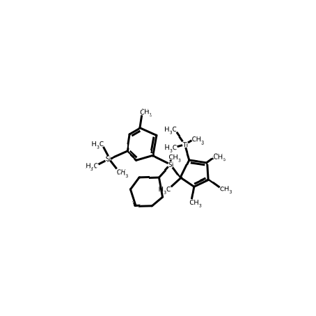 CC1=C(C)C(C)([Si](C)(c2cc(C)cc([Si](C)(C)C)c2)C2CCCCC2)[C]([Ti]([CH3])([CH3])[CH3])=C1C